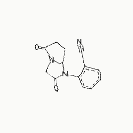 N#Cc1ccccc1N1C(=O)CN2C(=O)CCC21